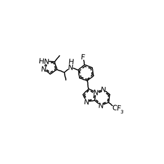 Cc1[nH]ncc1C(C)Nc1cc(-c2cnc3nc(C(F)(F)F)cnn23)ccc1F